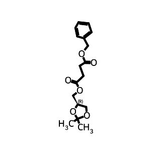 CC1(C)OC[C@H](COC(=O)CCC(=O)OCc2ccccc2)O1